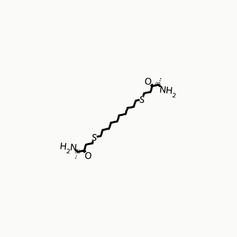 C[C@H](N)C(=O)CCSCCCCCCCCCCSCCC(=O)[C@H](C)N